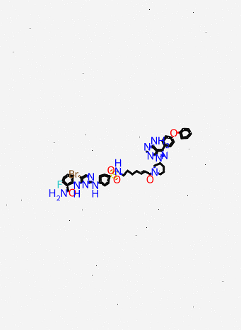 NC(=O)c1c(F)cccc1Nc1nc(Nc2ccc(S(=O)(=O)NCCCC/C=C/C(=O)N3CCC[C@@H](n4nc(-c5ccc(Oc6ccccc6)cc5)c5c(N)ncnc54)C3)cc2)ncc1Br